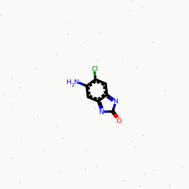 Nc1cc2c(cc1Cl)=NC(=O)N=2